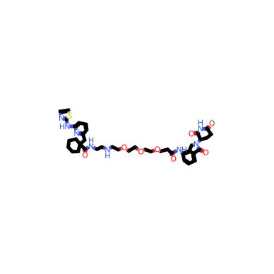 O=C1CCC(N2Cc3c(NC(=O)CCOCCOCCOCCNCCNC(=O)C4(Cc5cccc(Nc6nccs6)n5)CCCCC4)cccc3C2=O)C(=O)N1